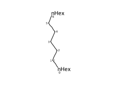 CCCCCC[C]CCCCCCCCCC